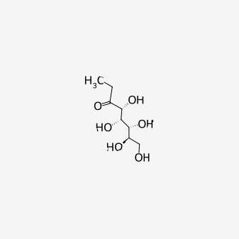 CCC(=O)[C@H](O)[C@@H](O)[C@H](O)[C@H](O)CO